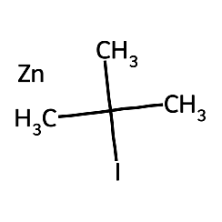 CC(C)(C)I.[Zn]